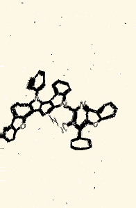 Cc1c(-n2c3ccccc3c3c2ccc2c4c5oc6ccccc6c5ccc4n(-c4ccccc4)c23)nc2c(oc3ccccc32)c1-c1ccccc1